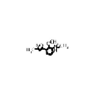 CCNc1cccc(-c2cc(C)no2)c1OC